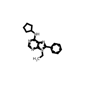 CCn1c(-c2ccccc2)nc2c(NC3CCCC3)ncnc21